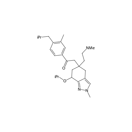 CNCCC1(CC(=O)c2ccc(CC(C)C)c(C)c2)Cc2cn(C)nc2C(OC(C)C)C1